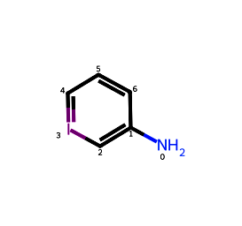 NC1=CI=CC=C1